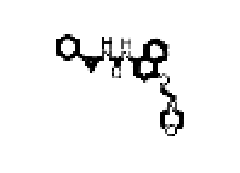 O=C(Nc1ccc(OCCN2CCOCC2)c2ccccc12)NC1CC1C1CCCCC1